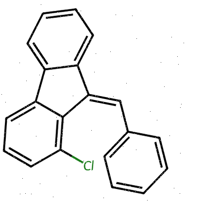 Clc1cccc2c1C(=Cc1ccccc1)c1ccccc1-2